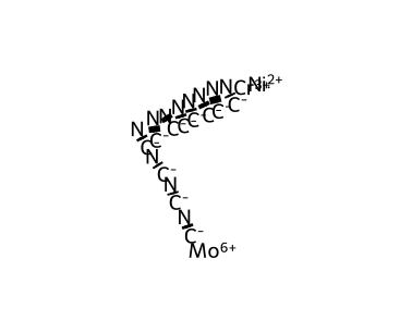 [C-]#N.[C-]#N.[C-]#N.[C-]#N.[C-]#N.[C-]#N.[C-]#N.[C-]#N.[C-]#N.[C-]#N.[C-]#N.[Cr+3].[Mo+6].[Ni+2]